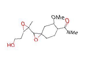 CNC(=O)C1CCC2(CC1OC)OC2C1(C)OC1CCO